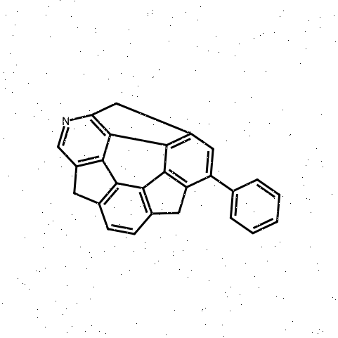 c1ccc(-c2cc3c4c5c(ncc6c5c5c(ccc7c5c4c2C7)C6)C3)cc1